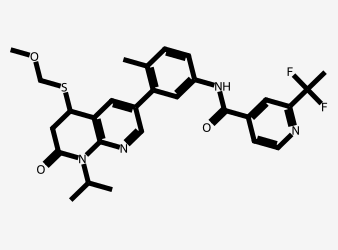 COCSC1CC(=O)N(C(C)C)c2ncc(-c3cc(NC(=O)c4ccnc(C(C)(F)F)c4)ccc3C)cc21